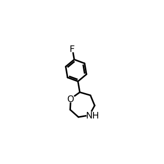 Fc1ccc(C2CCNCCO2)cc1